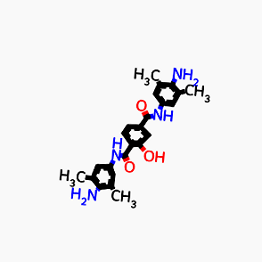 Cc1cc(NC(=O)c2ccc(C(=O)Nc3cc(C)c(N)c(C)c3)c(O)c2)cc(C)c1N